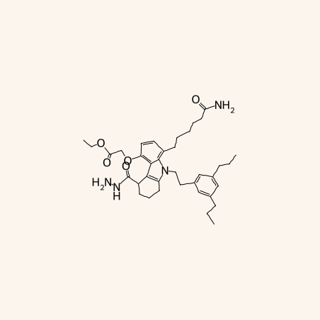 CCCc1cc(CCC)cc(CCn2c3c(c4c(OCC(=O)OCC)ccc(CCCCCC(N)=O)c42)C(C(=O)NN)CCC3)c1